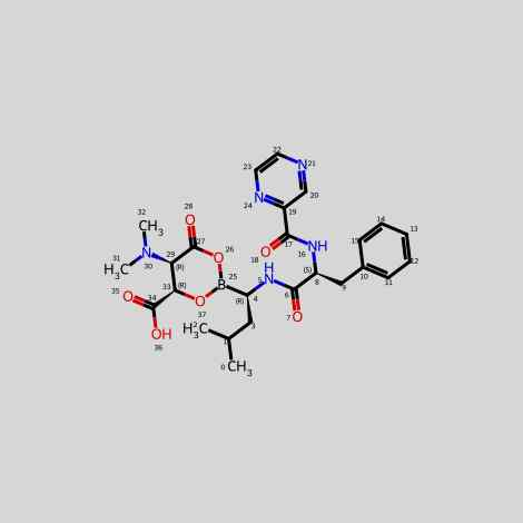 CC(C)C[C@H](NC(=O)[C@H](Cc1ccccc1)NC(=O)c1cnccn1)B1OC(=O)[C@H](N(C)C)[C@H](C(=O)O)O1